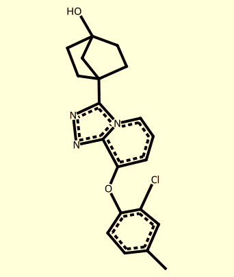 Cc1ccc(Oc2cccn3c(C45CCC(O)(CC4)C5)nnc23)c(Cl)c1